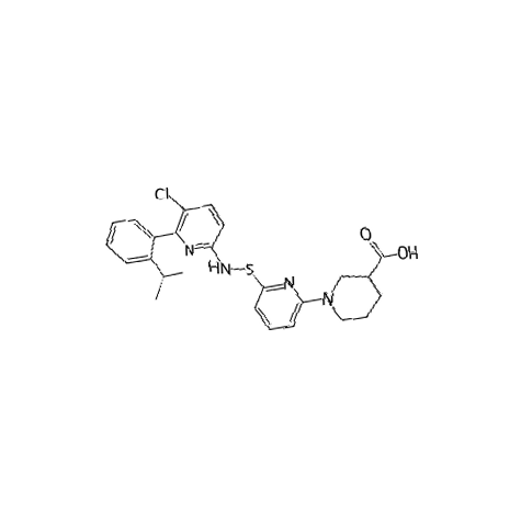 CC(C)c1ccccc1-c1nc(NSc2cccc(N3CCCC(C(=O)O)C3)n2)ccc1Cl